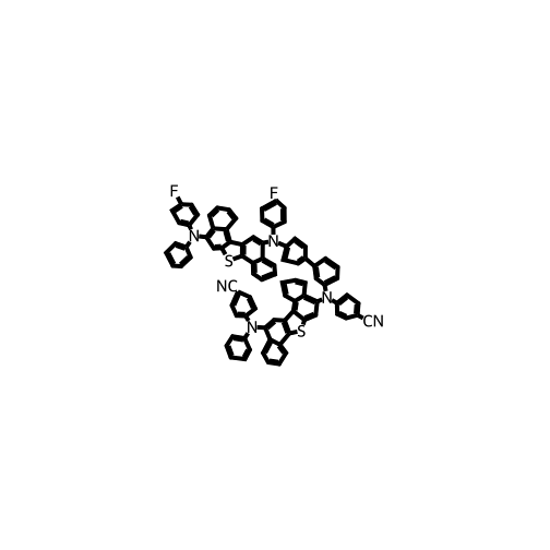 N#Cc1ccc(N(c2ccccc2)c2cc3c(sc4cc(N(c5ccc(C#N)cc5)c5cccc(-c6ccc(N(c7ccc(F)cc7)c7cc8c(sc9cc(N(c%10ccccc%10)c%10ccc(F)cc%10)c%10ccccc%10c98)c8ccccc78)cc6)c5)c5ccccc5c43)c3ccccc23)cc1